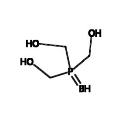 B=P(CO)(CO)CO